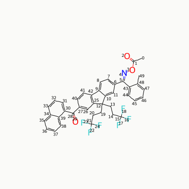 CC(=O)O/N=C(/c1ccc2c(c1)C(CCC(F)(F)F)(CCC(F)(F)F)c1cc(C(=O)c3cccc4ccccc34)ccc1-2)c1ccccc1C